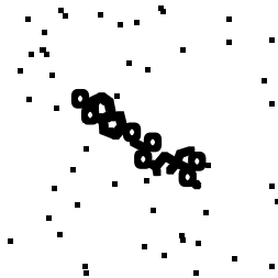 CCC(C)(CC(C)OC(=O)COc1ccc2oc(=O)ccc2c1)C(=O)OC